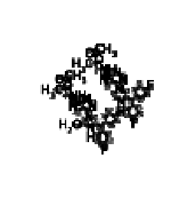 CC(=O)OC(C)CNn1ncc2c(N3CCNC(C(c4ccc(F)cc4)c4ccc(F)cc4)C3)ncnc21.CC(=O)OC(C)CNn1ncc2c(N3CCNC(C(c4ccc(F)cc4)c4ccc(F)cc4)C3)ncnc21.O